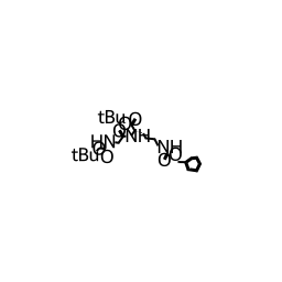 CC(C)(C)OC(=O)NCC(=O)N[C@@H](CCCCNC(=O)OCc1ccccc1)C(=O)OC(C)(C)C